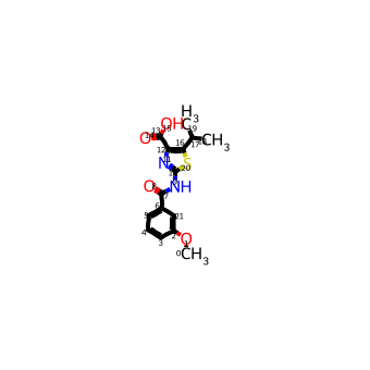 COc1cccc(C(=O)Nc2nc(C(=O)O)c(C(C)C)s2)c1